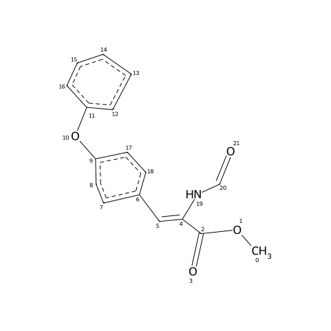 COC(=O)/C(=C/c1ccc(Oc2ccccc2)cc1)NC=O